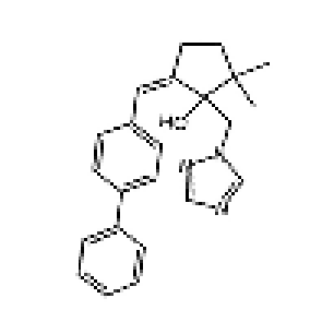 CC1(C)CCC(=Cc2ccc(-c3ccccc3)cc2)C1(O)Cn1cncn1